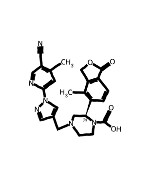 Cc1cc(-n2cc(CN3CCN(C(=O)O)[C@H](c4ccc5c(c4C)COC5=O)C3)cn2)ncc1C#N